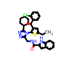 CCc1cc(C(=O)c2ccccc2Cl)c(-n2c(CNC(=O)c3cc4ccccc4[nH]3)nnc2C2CCCCC2)s1